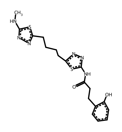 CNc1nnc(CCCCc2nnc(NC(=O)CCc3ccccc3O)s2)s1